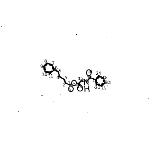 O=C(CCCCc1ccccc1)OC(=O)CNC(=O)c1ccccc1